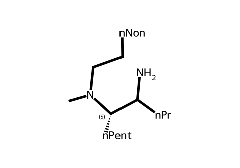 CCCCCCCCCCCN(C)[C@@H](CCCCC)C(N)CCC